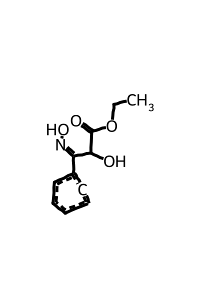 CCOC(=O)C(O)C(=NO)c1ccccc1